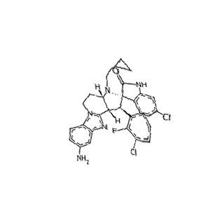 Nc1ccc2c(c1)nc1n2CC[C@H]2[C@@H]1[C@H](c1cccc(Cl)c1F)[C@]1(C(=O)Nc3cc(Cl)ccc31)N2CC1CC1